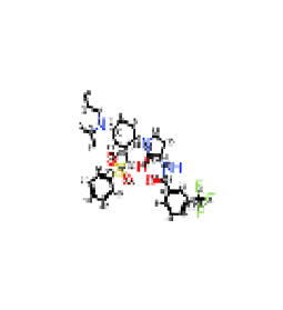 CCCN(C(C)C)[C@@H]1CC[C@H](N2CC[C@H](NC(=O)c3cccc(C(F)(F)F)c3)C2=O)[C@@H](CS(=O)(=O)c2ccccc2)C1